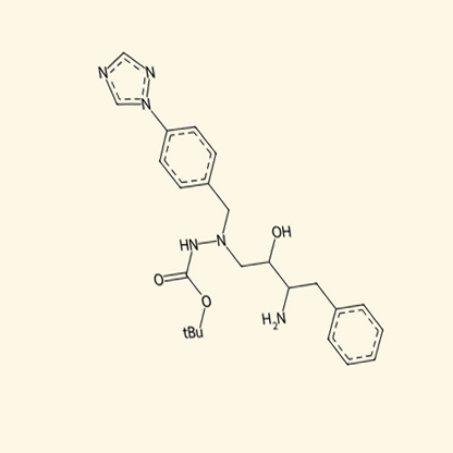 CC(C)(C)OC(=O)NN(Cc1ccc(-n2cncn2)cc1)CC(O)C(N)Cc1ccccc1